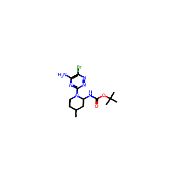 CC1CCN(c2nnc(Br)c(N)n2)C(NC(=O)OC(C)(C)C)C1